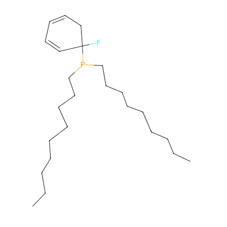 CCCCCCCCCP(CCCCCCCCC)C1(F)C=CC=CC1